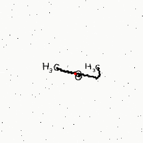 CCCCC/C=C\C/C=C\CCCCCCCC(=O)OCCCCCCCCCCCC